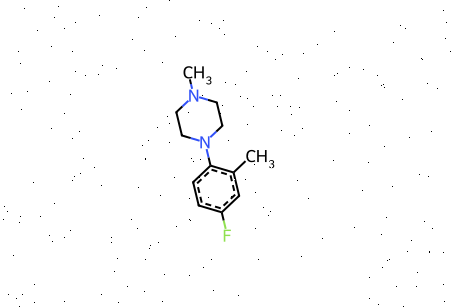 Cc1cc(F)ccc1N1CCN(C)CC1